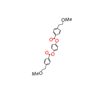 COCCc1ccc(C(=O)Oc2ccc(OC(=O)c3ccc(CCOC)cc3)cc2)cc1